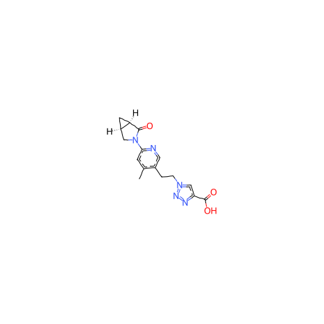 Cc1cc(N2C[C@H]3C[C@H]3C2=O)ncc1CCn1cc(C(=O)O)nn1